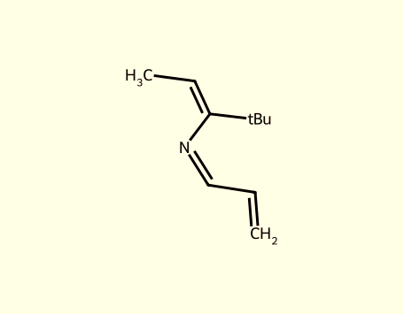 C=C/C=N\C(=C/C)C(C)(C)C